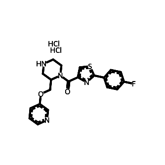 Cl.Cl.O=C(c1csc(-c2ccc(F)cc2)n1)N1CCNCC1COc1cccnc1